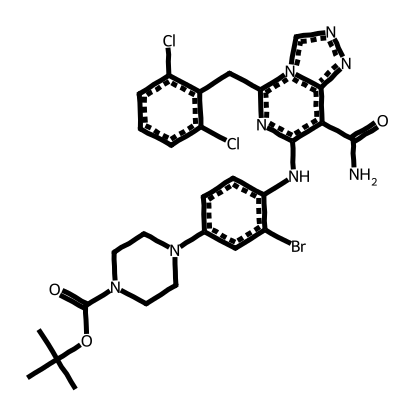 CC(C)(C)OC(=O)N1CCN(c2ccc(Nc3nc(Cc4c(Cl)cccc4Cl)n4cnnc4c3C(N)=O)c(Br)c2)CC1